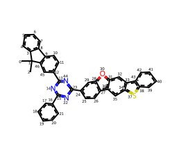 CC1(C)c2ccccc2-c2ccc(-c3nc(-c4ccccc4)nc(-c4ccc5c(c4)oc4cc6c(cc45)sc4ccccc46)n3)cc21